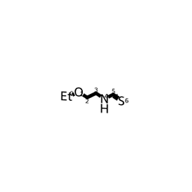 [CH2]COCCN[C]=S